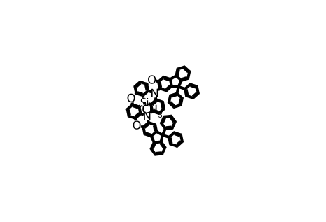 C[Si]12c3c4cccc3N3c5cc6c(cc5Oc5ccc(c1c53)Oc1ccc3c(c12)N4c1cc2c(cc1O3)-c1ccccc1C2(c1ccccc1)c1ccccc1)-c1ccccc1C6(c1ccccc1)c1ccccc1